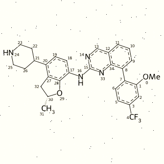 COc1cc(C(F)(F)F)ccc1-c1cccc2cnc(Nc3ccc(C4CCNCC4)c4c3O[C@H](C)C4)nc12